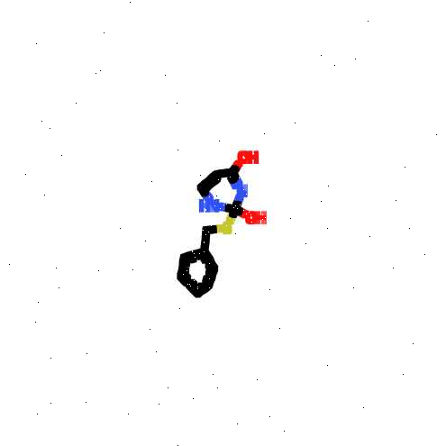 OC1=NC(O)(SCc2ccccc2)NC=C1